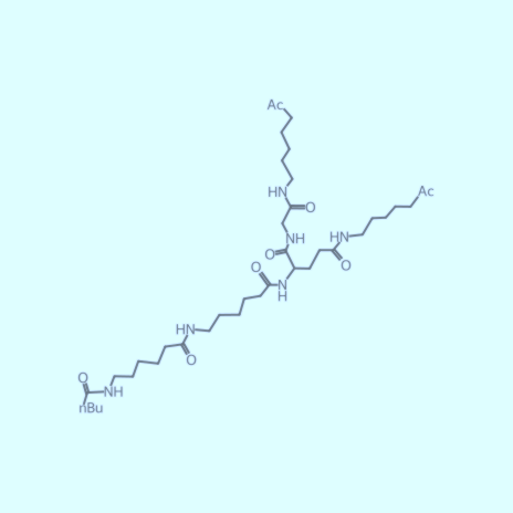 CCCCC(=O)NCCCCCC(=O)NCCCCCC(=O)NC(CCC(=O)NCCCCCC(C)=O)C(=O)NCC(=O)NCCCCCC(C)=O